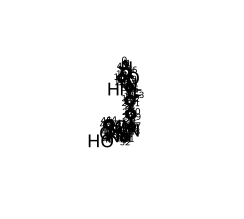 CCN(CC)[C@H](C)C(=O)N1CCC[C@H]1c1ncc(-c2ccc(-c3ccc(-c4cnc([C@@H]5CCCN5C(=O)[C@H](NC(=O)O)c5ccccc5)[nH]4)cc3)cc2F)[nH]1